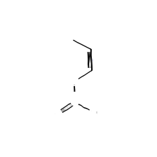 C/C=C\O[PH](=O)O